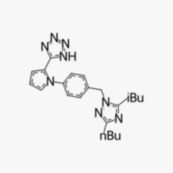 CCCCc1nc(C(C)CC)n(Cc2ccc(-n3cccc3-c3nnn[nH]3)cc2)n1